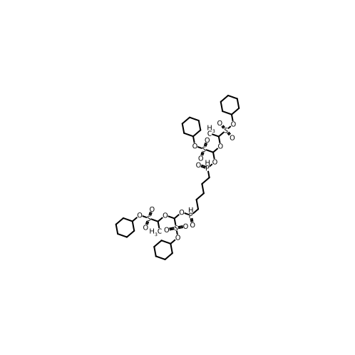 CC(OC(O[PH](=O)CCCCC[PH](=O)OC(OC(C)S(=O)(=O)OC1CCCCC1)S(=O)(=O)OC1CCCCC1)S(=O)(=O)OC1CCCCC1)S(=O)(=O)OC1CCCCC1